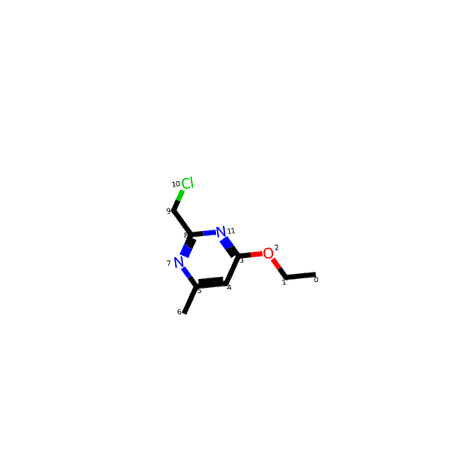 CCOc1cc(C)nc(CCl)n1